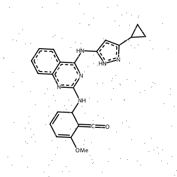 COC1=CC=CC(Nc2nc(Nc3cc(C4CC4)n[nH]3)c3ccccc3n2)C1=C=O